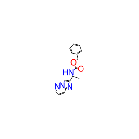 CC(NC(=O)OCc1ccccc1)c1cn2ncccc2n1